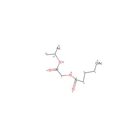 CC(=O)OCCCC(=O)OCC(=O)OC(C)C(C)=O